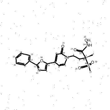 C[C@@](CCn1ccc(-c2cnc(-c3ccccc3)o2)cc1=O)(C(=O)NO)S(C)(=O)=O